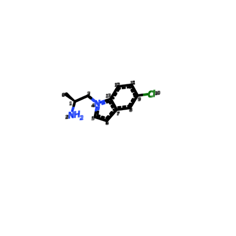 C[C@H](N)Cn1ccc2cc(Cl)ccc21